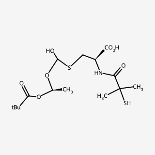 C[C@@H](OC(=O)C(C)(C)C)OC(O)SC[C@H](NC(=O)C(C)(C)S)C(=O)O